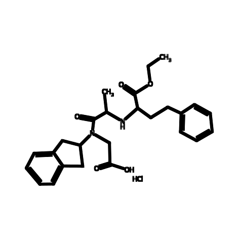 CCOC(=O)C(CCc1ccccc1)NC(C)C(=O)N(CC(=O)O)C1Cc2ccccc2C1.Cl